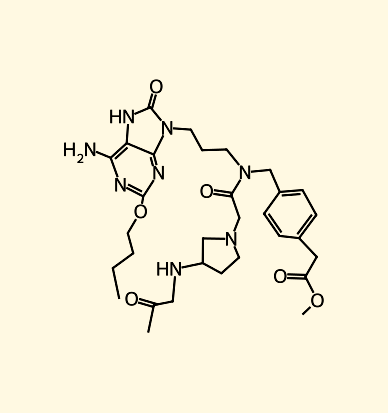 CCCCOc1nc(N)c2[nH]c(=O)n(CCCN(Cc3ccc(CC(=O)OC)cc3)C(=O)CN3CCC(NCC(C)=O)C3)c2n1